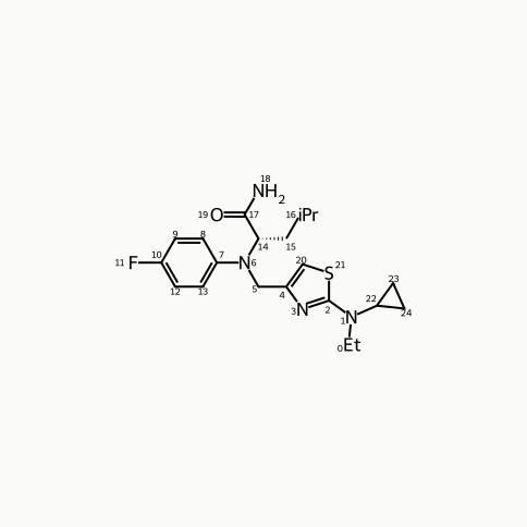 CCN(c1nc(CN(c2ccc(F)cc2)[C@@H](CC(C)C)C(N)=O)cs1)C1CC1